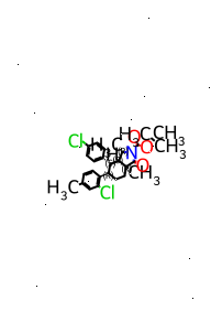 Cc1ccc([C@@H]2CC[C@@]3(C)C(=O)N(C(=O)OC(C)(C)C)[C@H](C)[C@H]3[C@H]2c2ccc(Cl)cc2)c(Cl)c1